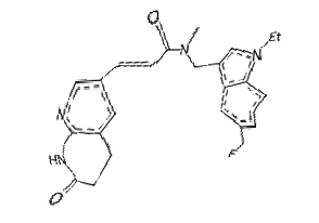 CCn1cc(CN(C)C(=O)C=Cc2cnc3c(c2)CCC(=O)N3)c2cc(F)ccc21